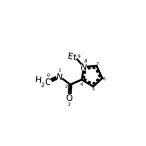 C=NC(=O)c1cccn1CC